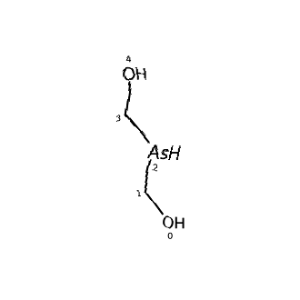 OC[AsH]CO